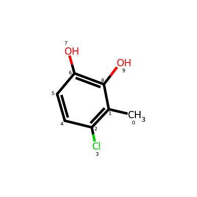 Cc1c(Cl)ccc(O)c1O